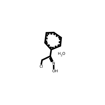 O.ON=C(CCl)c1ccccc1